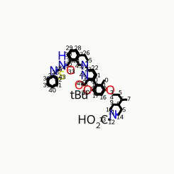 Cc1c(OCCC(C)C2CCN(CC(=O)O)CC2)cccc1-c1ccc(N2CCc3cccc(C(=O)Nc4nc5ccccc5s4)c3C2)nc1C(=O)OC(C)(C)C